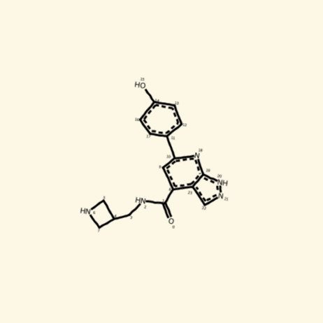 O=C(NCC1CNC1)c1cc(-c2ccc(O)cc2)nc2[nH]ncc12